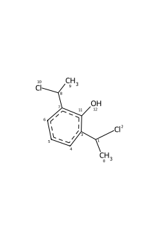 CC(Cl)c1cccc(C(C)Cl)c1O